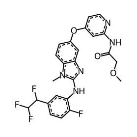 COCC(=O)Nc1cc(Oc2ccc3c(c2)nc(Nc2cc(C(F)C(F)F)ccc2F)n3C)ccn1